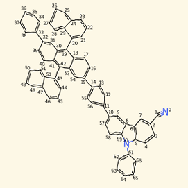 N#Cc1ccc2c(c1)c1cc(-c3ccc(-c4ccc5c(-c6cccc7ccccc67)c6cc(-c7ccccc7)ccc6c(-c6cccc7ccccc67)c5c4)cc3)ccc1n2-c1ccccc1